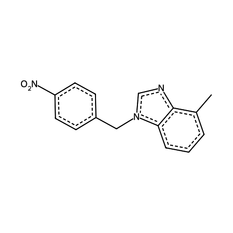 Cc1cccc2c1ncn2Cc1ccc([N+](=O)[O-])cc1